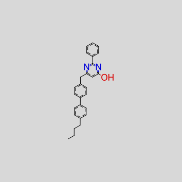 CCCCc1ccc(-c2ccc(Cc3cc(O)nc(-c4ccccc4)n3)cc2)cc1